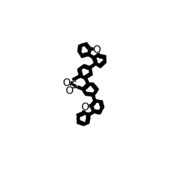 O=S1(=O)Cc2cc(-c3cccc4c3oc3ccccc34)ccc2-c2cc(-c3cccc4oc5ccccc5c34)ccc2C1